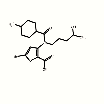 CC(O)CCCN(C(=O)C1CCC(C)CC1)c1cc(Br)sc1C(=O)O